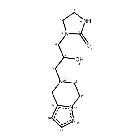 O=C1NCCN1CC(O)CN1CCn2nccc2C1